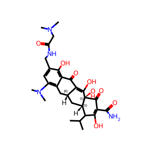 CC(C)C1C(O)=C(C(N)=O)C(=O)[C@@]2(O)C(O)=C3C(=O)c4c(O)c(CNC(=O)CN(C)C)cc(N(C)C)c4C[C@H]3C[C@@H]12